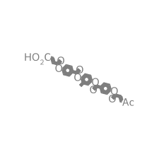 CC(=O)/C=C/C(=O)Oc1ccc(C(=O)Oc2ccc(OC(=O)c3ccc(OC(=O)/C=C/C(=O)O)cc3)c(C)c2)cc1